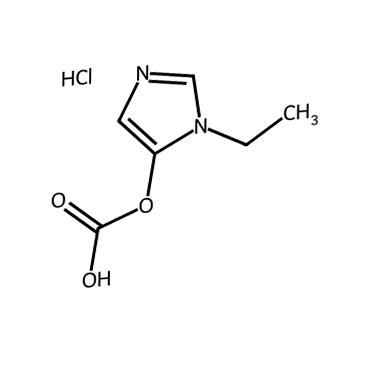 CCn1cncc1OC(=O)O.Cl